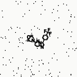 C[C@@H]1CN(c2ccc3ncc(-c4ccc(C(F)(F)F)cc4)n3n2)C[C@H](C)O1